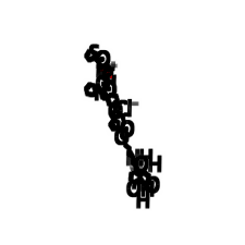 O=C(OCCCCNC[C@H](O)c1ccc(O)c2[nH]c(=O)ccc12)c1ccc(COc2cccc(CN(C(=O)O[C@H]3C[N+]4(CC(=O)c5cccs5)CCC3CC4)c3ccccc3)c2)o1.[Cl-]